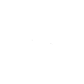 CCC1CC1C(C)=O